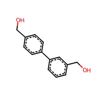 OCc1ccc(-c2cccc(CO)c2)cc1